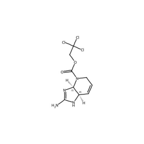 NC1=N[C@@H]2[C@@H](C=CCN2C(=O)OCC(Cl)(Cl)Cl)N1